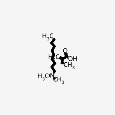 C=C(CC)C(=O)O.CCCCCCCCCCN(C)C